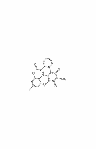 Cn1c(Nc2ccc(I)cc2Cl)c(-c2ccccc2OC=O)c(=O)n(C)c1=O